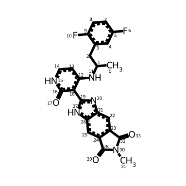 CC(Cc1cc(F)ccc1F)Nc1cc[nH]c(=O)c1-c1nc2cc3c(cc2[nH]1)C(=O)N(C)C3=O